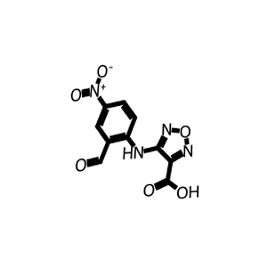 O=Cc1cc([N+](=O)[O-])ccc1Nc1nonc1C(=O)O